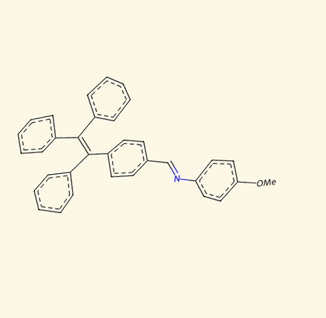 COc1ccc(N=Cc2ccc(C(=C(c3ccccc3)c3ccccc3)c3ccccc3)cc2)cc1